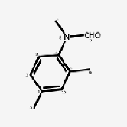 Cc1ccc(N(C)C=O)c(C)c1